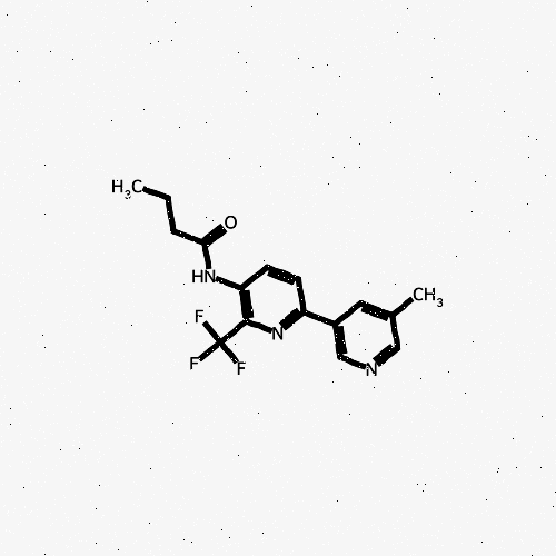 CCCC(=O)Nc1ccc(-c2cncc(C)c2)nc1C(F)(F)F